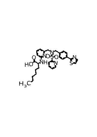 CCCCCCC(Nc1cccc(CN(Cc2ccc(-c3nccs3)cc2)S(=O)(=O)c2ccccn2)n1)C(=O)O